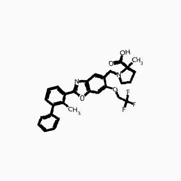 Cc1c(-c2ccccc2)cccc1-c1nc2cc(CN3CCCC3(C)C(=O)O)c(OCC(F)(F)F)cc2o1